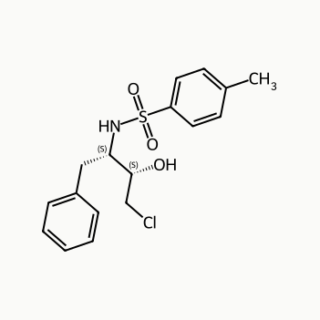 Cc1ccc(S(=O)(=O)N[C@@H](Cc2ccccc2)[C@H](O)CCl)cc1